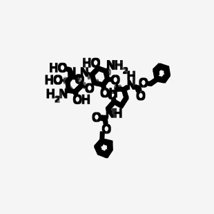 N[C@@H]1C(O[C@H]2OC(CNC(=O)OCc3ccccc3)CCC2NC(=O)OCc2ccccc2)C(O)[C@@H](O[C@H]2OC(CO)[C@@H](O)[C@H](N)C2O)[C@H](N)C1O